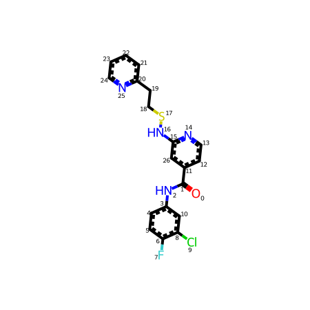 O=C(Nc1ccc(F)c(Cl)c1)c1ccnc(NSCCc2ccccn2)c1